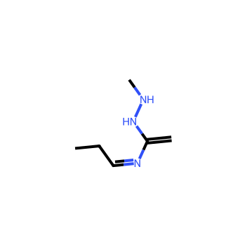 C=C(/N=C\CC)NNC